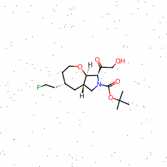 CC(C)(C)OC(=O)N1C[C@@H]2C[C@H](CCF)CCO[C@H]2[C@H]1C(=O)CO